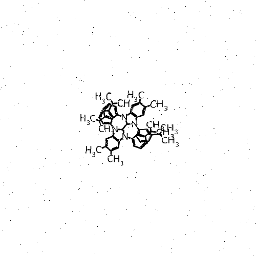 Cc1cc2c(cc1C)N(c1cccc(C(C)C)c1)C(C1N(c3cccc(C(C)C)c3)c3cc(C)c(C)cc3N1c1cccc(C(C)C)c1)N2c1cccc(C(C)C)c1